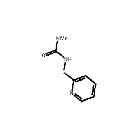 CNC(=O)NSc1ccccn1